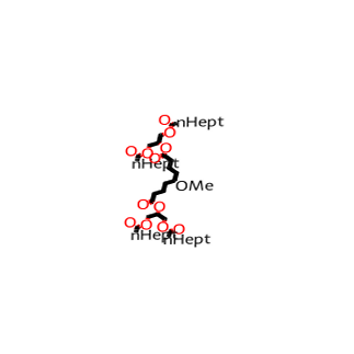 CCCCCCCC(=O)OCC(COC(=O)CCCCCCC)OC(=O)CCCC(CCCC(=O)OC(COC(=O)CCCCCCC)COC(=O)CCCCCCC)OC